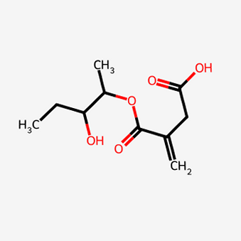 C=C(CC(=O)O)C(=O)OC(C)C(O)CC